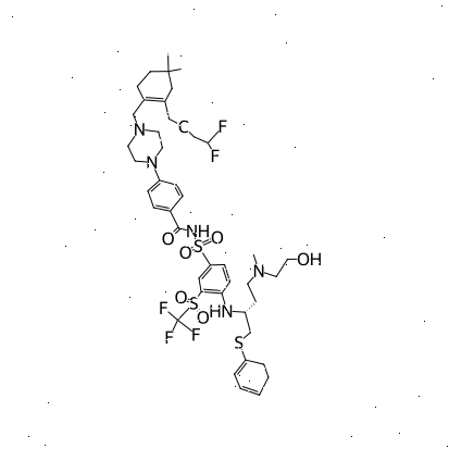 CN(CCO)CC[C@H](CSC1=CC=CCC1)Nc1ccc(S(=O)(=O)NC(=O)c2ccc(N3CCN(CC4=C(CCCC(F)F)CC(C)(C)CC4)CC3)cc2)cc1S(=O)(=O)C(F)(F)F